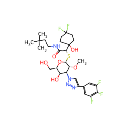 CO[C@@H]1[C@@H](n2cc(-c3cc(F)c(F)c(F)c3)nn2)[C@@H](O)[C@@H](CO)O[C@H]1S[C@H](C(=O)NCCC(C)(C)C)C1(O)CCC(F)(F)CC1